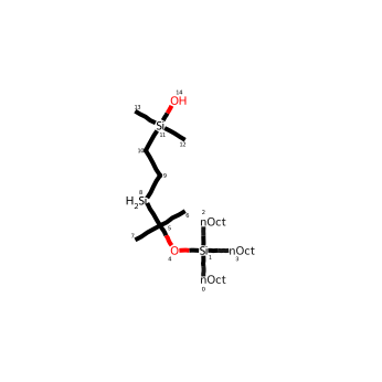 CCCCCCCC[Si](CCCCCCCC)(CCCCCCCC)OC(C)(C)[SiH2]CC[Si](C)(C)O